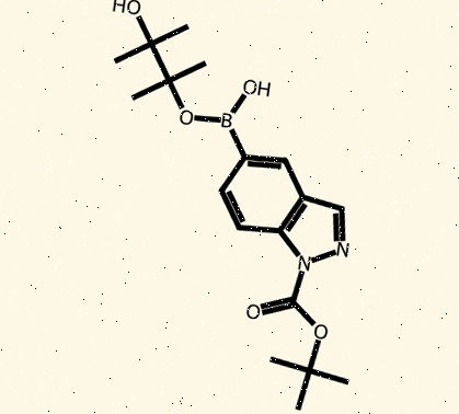 CC(C)(C)OC(=O)n1ncc2cc(B(O)OC(C)(C)C(C)(C)O)ccc21